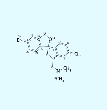 CN(C)CCCC1(c2ccc(Cl)cc2)OCc2cc(Br)ccc21